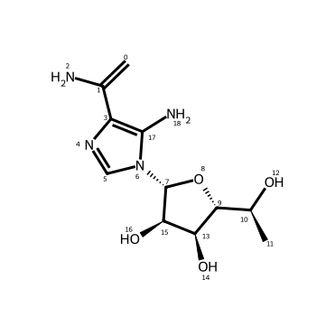 C=C(N)c1ncn([C@@H]2O[C@H]([C@H](C)O)[C@@H](O)[C@H]2O)c1N